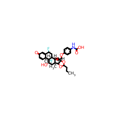 CCCC1O[C@@H]2C[C@H]3[C@@H]4C[C@H](F)C5=CC(=O)C=C[C@]5(C)[C@@]4(F)[C@@H](O)C[C@]3(C)[C@]2(C(=O)COc2ccc(NC(=O)O)cc2)O1